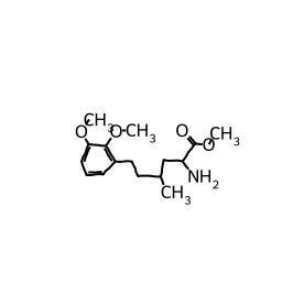 COC(=O)C(N)CC(C)CCc1cccc(OC)c1OC